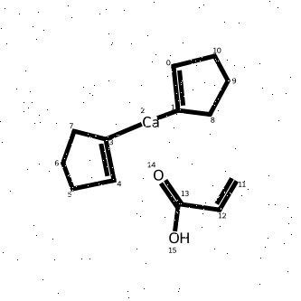 C1=[C]([Ca][C]2=CCCC2)CCC1.C=CC(=O)O